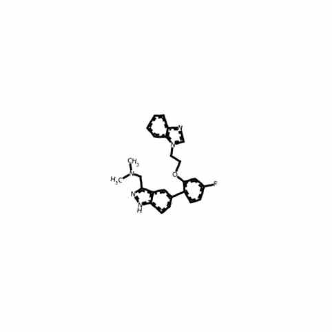 CN(C)Cc1n[nH]c2ccc(-c3ccc(F)cc3OCCn3cnc4ccccc43)cc12